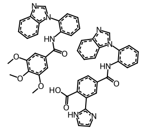 COc1cc(C(=O)Nc2ccccc2-n2cnc3ccccc32)cc(OC)c1OC.O=C(Nc1ccccc1-n1cnc2ccccc21)c1ccc(C(=O)O)c(-c2ncc[nH]2)c1